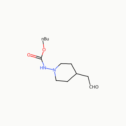 CCCCOC(=O)NN1CCC(CC=O)CC1